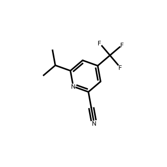 CC(C)c1cc(C(F)(F)F)cc(C#N)n1